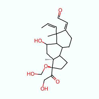 C/C=C\C1(C)/C(=C\C=O)CCC2C1C(O)C[C@@]1(C)C2CC[C@]1(OCO)C(=O)CO